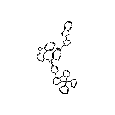 c1ccc(C2(c3ccccc3)c3ccccc3-c3c(-c4ccc(N(c5ccc(-c6cccc(-c7ccc8ccccc8c7)c6)cc5)c5cccc6oc7ccccc7c56)cc4)cccc32)cc1